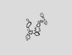 COc1ccc(COc2cc(N3CCOCC3)cc(-c3cccc4c3Sc3ccc(NC5COCC5N5CCOCC5)cc3S4)n2)cc1